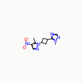 Cc1c([N+](=O)[O-])cnn1C1CC(c2ncnn2C)C1